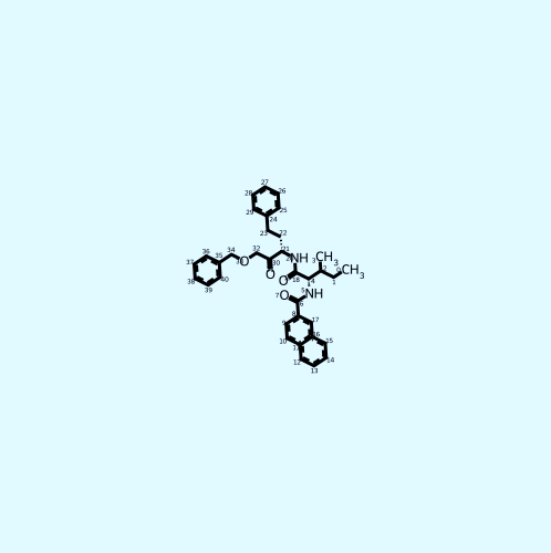 CCC(C)[C@H](NC(=O)c1ccc2ccccc2c1)C(=O)N[C@@H](CCc1ccccc1)C(=O)COCc1ccccc1